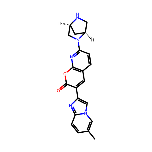 Cc1ccc2nc(-c3cc4ccc(N5C[C@@H]6C[C@H]5CN6)nc4oc3=O)cn2c1